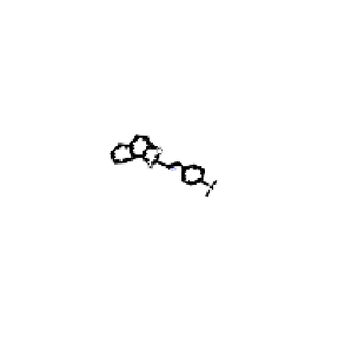 CN(C)c1ccc(/C=C/c2nc3c(ccc4ccccc43)o2)cc1